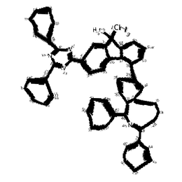 CC1(C)c2cc(-c3nc(-c4ccccc4)nc(-c4ccccc4)n3)ccc2-c2c(-c3ccc4/c(c3)=C\CC/C(c3ccccc3)=N\C=4c3ccccc3)cccc21